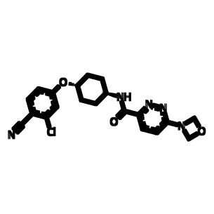 N#Cc1ccc(O[C@H]2CC[C@H](NC(=O)c3ccc(N4COC4)nn3)CC2)cc1Cl